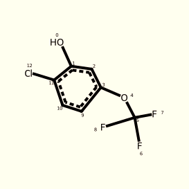 Oc1cc(OC(F)(F)F)ccc1Cl